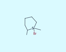 CC1CCCC[Si]1(C)Br